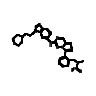 CN(Cc1ccccc1-c1ccc2cnc(Nc3ccc4ncn(CCN5CCOCC5)c4c3)nn12)[SH](=O)=O